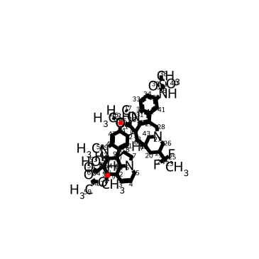 CC[C@]12C=CCN3CC[C@@]4(C5=CC([C@@]6(C(=O)OC)C[C@H]7CC(C(C)(F)F)CN(Cc8c6[nH]c6ccc(NS(C)(=O)=O)cc86)C7)C(OC)C=C5N(C)[C@H]4[C@@](O)(C=O)[C@@H]1OC(C)=O)[C@@H]32